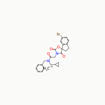 C[C@@H](C1CC1)N(Cc1ccccc1)C(=O)CN1C(=O)OC2(CCc3ccc(Br)cc32)C1=O